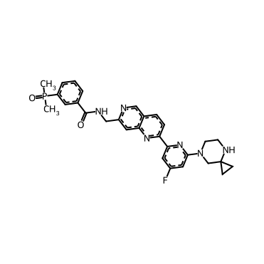 CP(C)(=O)c1cccc(C(=O)NCc2cc3nc(-c4cc(F)cc(N5CCNC6(CC6)C5)n4)ccc3cn2)c1